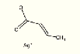 CC=CC(=O)[O-].[Ag+]